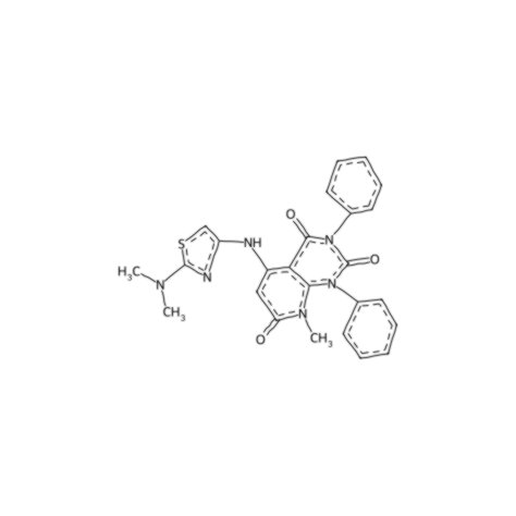 CN(C)c1nc(Nc2cc(=O)n(C)c3c2c(=O)n(-c2ccccc2)c(=O)n3-c2ccccc2)cs1